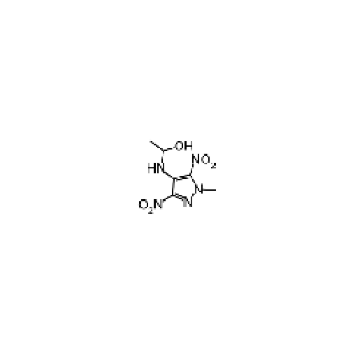 CC(O)Nc1c([N+](=O)[O-])nn(C)c1[N+](=O)[O-]